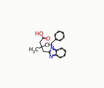 CC(C)(CC(=O)O)Cc1nc2ccccc2n1Cc1ccccc1